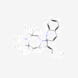 CN1C(C)(C)CCN(C2(C(=CC(=O)O)C(=O)O)C=Cc3ccccc3N2)CC1(C)C